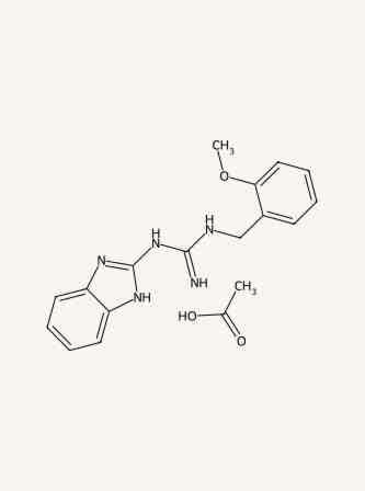 CC(=O)O.COc1ccccc1CNC(=N)Nc1nc2ccccc2[nH]1